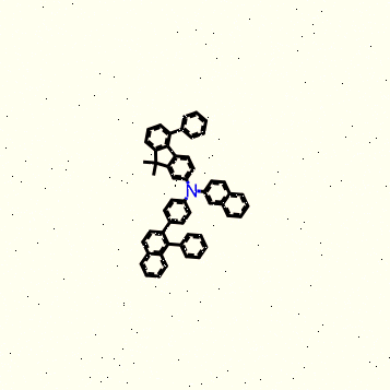 CC1(C)c2cc(N(c3ccc(-c4ccc5ccccc5c4-c4ccccc4)cc3)c3ccc4ccccc4c3)ccc2-c2c(-c3ccccc3)cccc21